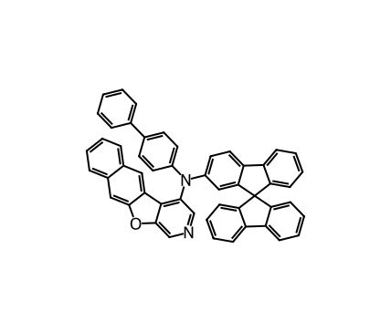 c1ccc(-c2ccc(N(c3ccc4c(c3)C3(c5ccccc5-c5ccccc53)c3ccccc3-4)c3cncc4oc5cc6ccccc6cc5c34)cc2)cc1